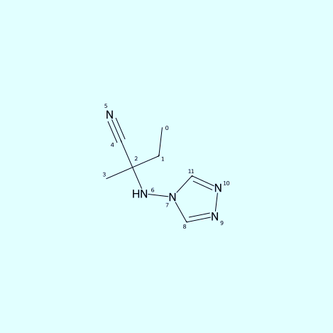 CCC(C)(C#N)Nn1cnnc1